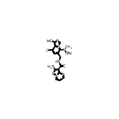 CCCCN(C)c1c(CNC(=O)c2c(N)nn3cccnc23)cc(Cl)c2c(C#N)ncn12